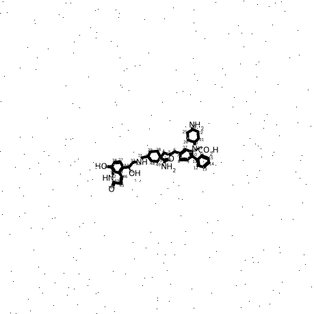 NC(=O)C1(CCCc2ccc(-c3ccccc3)c(N(C(=O)O)C3CCC(N)CC3)c2)CCC(CNC[C@@H](O)c2ccc(O)c3[nH]c(=O)ccc23)CC1